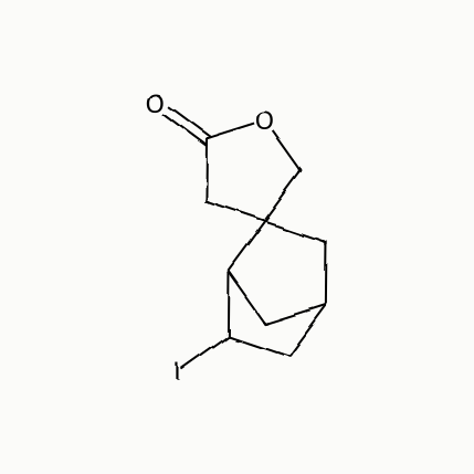 O=C1CC2(CO1)CC1CC(I)C2C1